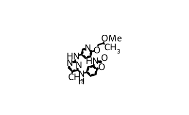 COC(C)COc1ccc(Nc2ncc(C)c(Nc3ccc4oc(=O)[nH]c4c3)n2)cn1